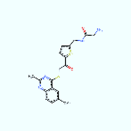 COc1ccc2nc(C)nc(SCC(=O)c3ccc(CNC(=O)CN)s3)c2c1